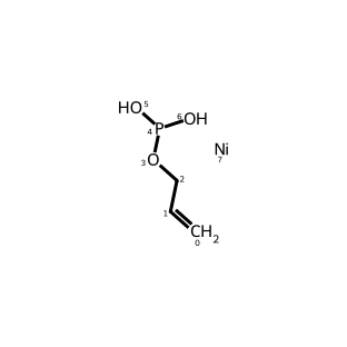 C=CCOP(O)O.[Ni]